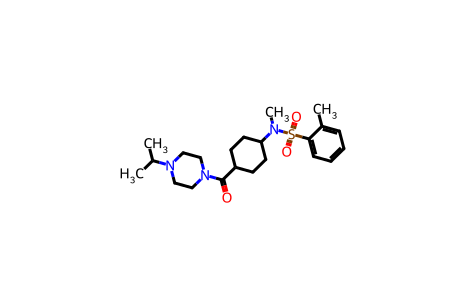 Cc1ccccc1S(=O)(=O)N(C)C1CCC(C(=O)N2CCN(C(C)C)CC2)CC1